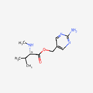 CN[C@H](C(=O)OCc1cnc(N)nc1)C(C)C